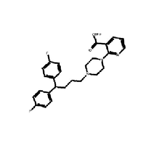 COC(=O)c1cccnc1N1CCN(CCCC(c2ccc(F)cc2)c2ccc(F)cc2)CC1